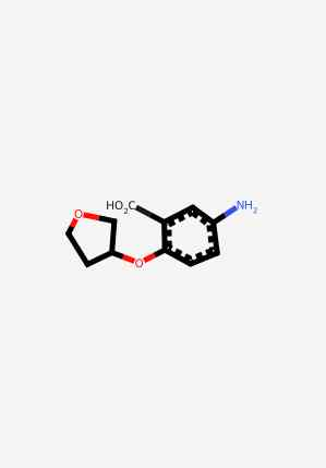 Nc1ccc(OC2CCOC2)c(C(=O)O)c1